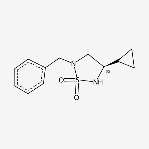 O=S1(=O)N[C@H](C2CC2)CN1Cc1ccccc1